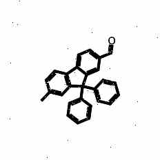 Cc1ccc2c(c1)C(c1ccccc1)(c1ccccc1)c1cc(C=O)ccc1-2